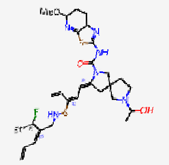 C=C/C=C(/CNS/C(C=C)=C/C=C1\CC2(CCN(C(C)O)C2)CN1C(=O)NC1=NC2CCC(OC)N=C2S1)[C@H](F)CC